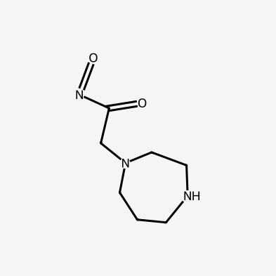 O=NC(=O)CN1CCCNCC1